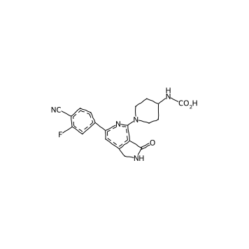 N#Cc1ccc(-c2cc3c(c(N4CCC(NC(=O)O)CC4)n2)C(=O)NC3)cc1F